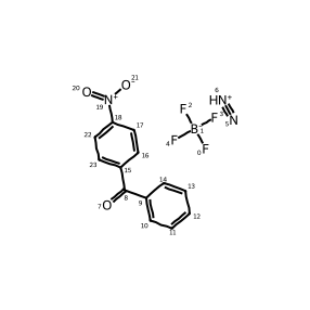 F[B-](F)(F)F.N#[NH+].O=C(c1ccccc1)c1ccc([N+](=O)[O-])cc1